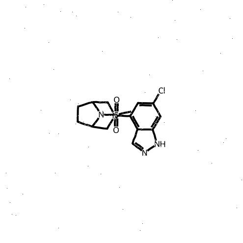 CS(=O)(=O)N1C2CCC1CN(c1cc(Cl)cc3[nH]ncc13)C2